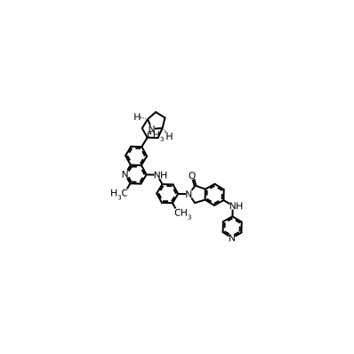 Cc1cc(Nc2ccc(C)c(N3Cc4cc(Nc5ccncc5)ccc4C3=O)c2)c2cc(C3C[C@H]4CC[C@@H](C3)N4C)ccc2n1